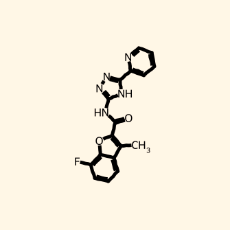 Cc1c(C(=O)Nc2nnc(-c3ccccn3)[nH]2)oc2c(F)cccc12